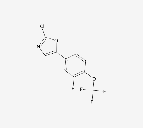 Fc1cc(-c2cnc(Cl)o2)ccc1OC(F)(F)F